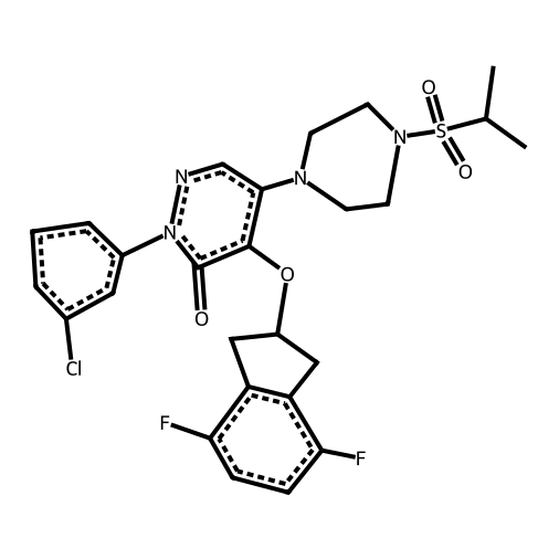 CC(C)S(=O)(=O)N1CCN(c2cnn(-c3cccc(Cl)c3)c(=O)c2OC2Cc3c(F)ccc(F)c3C2)CC1